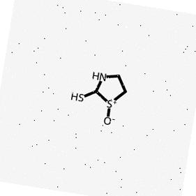 [O-][S+]1CCNC1S